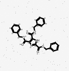 O=C(OCc1ccccc1)c1nc(C(=O)OCc2ccccc2)c(C(=O)OCc2ccccc2)[nH]1